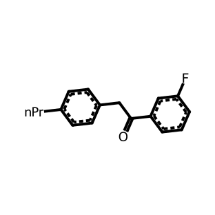 CCCc1ccc(CC(=O)c2cccc(F)c2)cc1